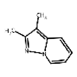 Cc1nn2ccccc2c1C